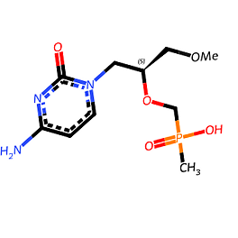 COC[C@H](Cn1ccc(N)nc1=O)OCP(C)(=O)O